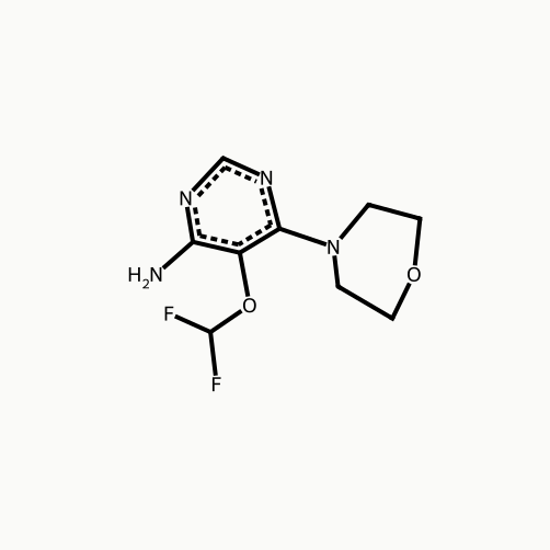 Nc1ncnc(N2CCOCC2)c1OC(F)F